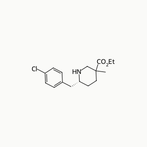 CCOC(=O)C1(C)CC[C@H](Cc2ccc(Cl)cc2)NC1